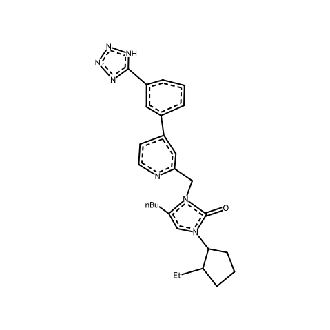 CCCCc1cn(C2CCCC2CC)c(=O)n1Cc1cc(-c2cccc(-c3nnn[nH]3)c2)ccn1